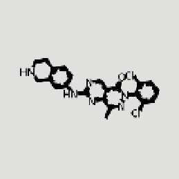 Cc1nn(-c2c(Cl)cccc2Cl)c(=O)c2cnc(Nc3ccc4c(c3)CNCC4)nc12